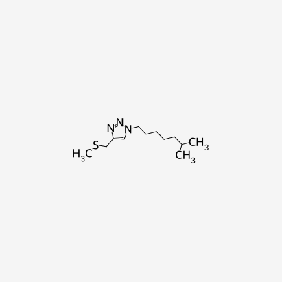 CSCc1cn(CCCCCC(C)C)nn1